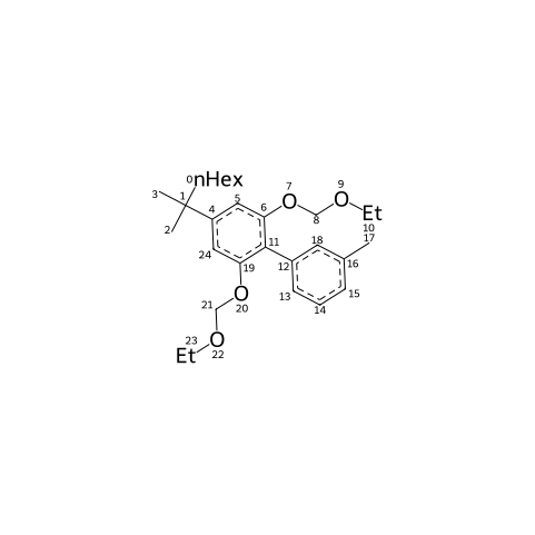 CCCCCCC(C)(C)c1cc(OCOCC)c(-c2cccc(C)c2)c(OCOCC)c1